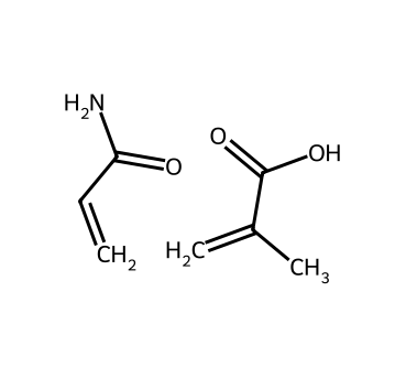 C=C(C)C(=O)O.C=CC(N)=O